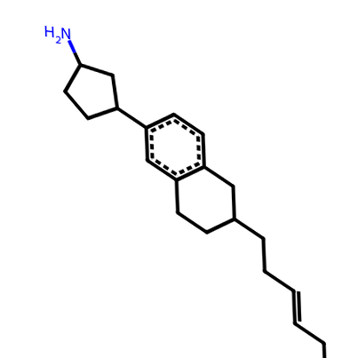 CC/C=C/CCC1CCc2cc(C3CCC(N)C3)ccc2C1